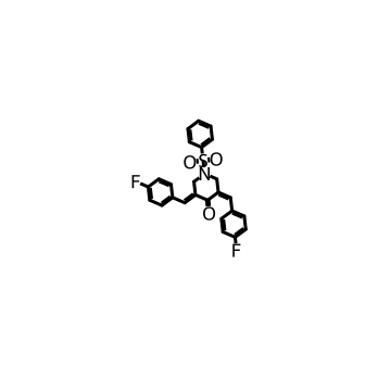 O=C1C(=Cc2ccc(F)cc2)CN(S(=O)(=O)c2ccccc2)CC1=Cc1ccc(F)cc1